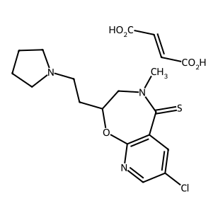 CN1CC(CCN2CCCC2)Oc2ncc(Cl)cc2C1=S.O=C(O)C=CC(=O)O